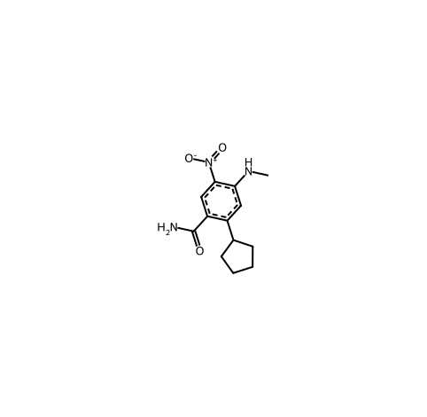 CNc1cc(C2CCCC2)c(C(N)=O)cc1[N+](=O)[O-]